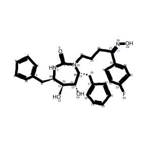 O=C1N[C@H](Cc2ccccc2)[C@H](O)[C@@H](O)[C@@H](Cc2ccccc2)N1CCC/C(=N/O)c1ccc(F)cc1